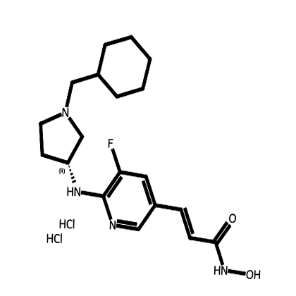 Cl.Cl.O=C(C=Cc1cnc(N[C@@H]2CCN(CC3CCCCC3)C2)c(F)c1)NO